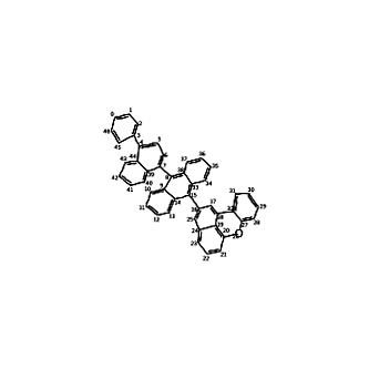 c1ccc(-c2ccc(-c3c4ccccc4c(-c4cc5c6c(cccc6c4)Oc4ccccc4-5)c4ccccc34)c3ccccc23)cc1